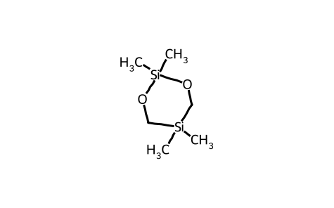 C[Si]1(C)CO[Si](C)(C)OC1